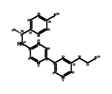 C[C@@H](Nc1cnc(-c2cncc(CCF)c2)cn1)c1ccc(F)cc1